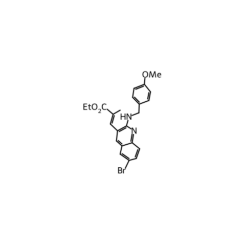 CCOC(=O)C(C)=Cc1cc2cc(Br)ccc2nc1NCc1ccc(OC)cc1